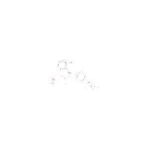 COC(=O)c1ccc(CN(C(=O)N2CCS(=O)(=O)CC2)c2ccccc2F)cc1